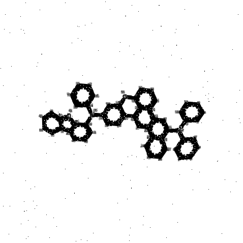 c1ccc(N(c2ccccc2)c2cc3c4cccc5c4c(cc3c3ccccc23)-c2ccc(N(c3ccccc3)c3cccc4c3oc3ccccc34)cc2O5)cc1